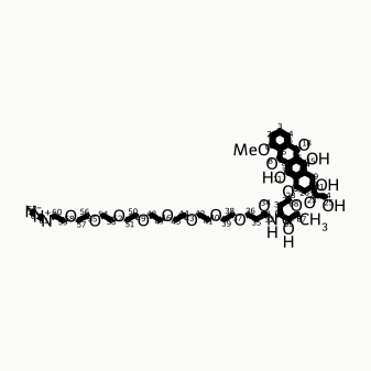 COc1cccc2c1C(=O)c1c(O)c3c(c(O)c1C2=O)C[C@@](O)(C(=O)CO)C[C@@H]3OC1C[C@H](NC(=O)CCOCCOCCOCCOCCOCCOCCOCCOCCN=[N+]=[N-])[C@H](O)[C@@H](C)O1